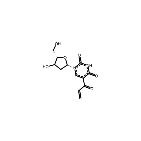 C=CC(=O)c1cn([C@@H]2CC(O)[C@H](CO)O2)c(=O)[nH]c1=O